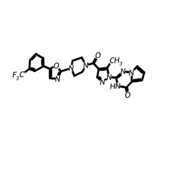 Cc1c(C(=O)N2CCN(c3ncc(-c4cccc(C(F)(F)F)c4)o3)CC2)cnn1-c1nn2cccc2c(=O)[nH]1